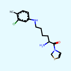 N#Cc1ccc(NCCCCC(N)C(=O)N2C=CSC2)cc1Cl